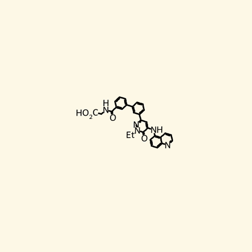 CCn1nc(-c2cccc(-c3cccc(C(=O)NCC(=O)O)c3)c2)cc(Nc2cccc3ncccc23)c1=O